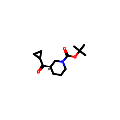 CC(C)(C)OC(=O)N1CCC[C@@H](C(=O)C2CC2)C1